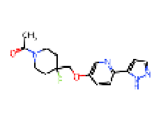 CC(=O)N1CCC(F)(COc2ccc(-c3ccn[nH]3)nc2)CC1